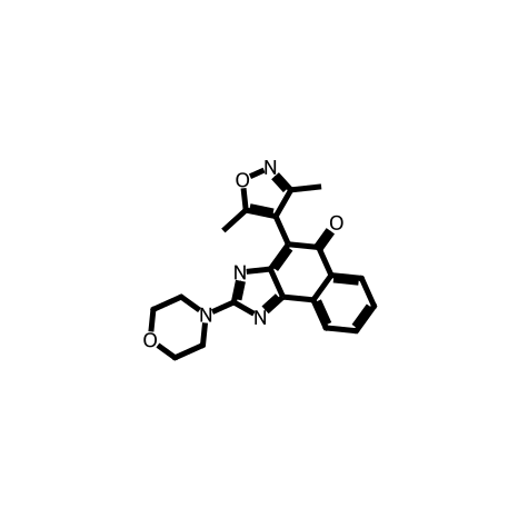 Cc1noc(C)c1C1=C2N=C(N3CCOCC3)N=C2c2ccccc2C1=O